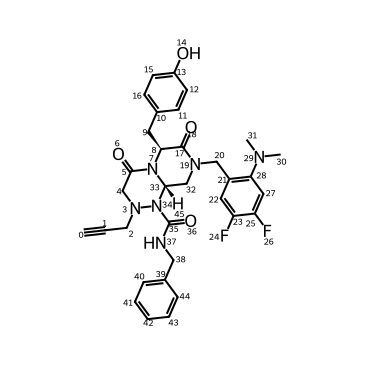 C#CCN1CC(=O)N2[C@@H](Cc3ccc(O)cc3)C(=O)N(Cc3cc(F)c(F)cc3N(C)C)C[C@@H]2N1C(=O)NCc1ccccc1